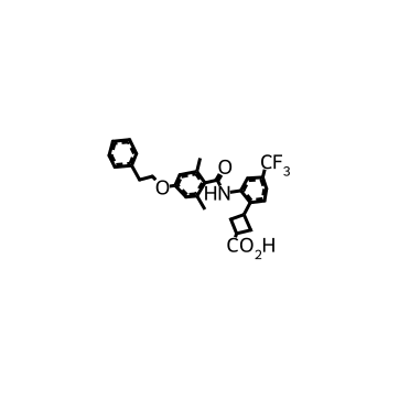 Cc1cc(OCCc2ccccc2)cc(C)c1C(=O)Nc1cc(C(F)(F)F)ccc1C1CC(C(=O)O)C1